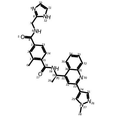 Cc1cc(C(=O)NCc2ncc[nH]2)ccc1C(=O)N[C@H](C)c1cc(-c2cnn(C)c2)nc2ccccc12